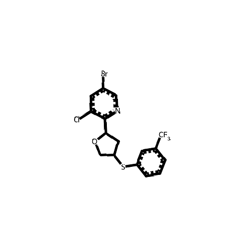 FC(F)(F)c1cccc(SC2COC(c3ncc(Br)cc3Cl)C2)c1